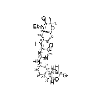 CCN1C(=O)C(C)(C)Oc2ccc(Nc3nc(Nc4ccc5c(c4)[C@@H]4NC(=O)O[C@@H]4C5)ncc3Cl)cc21